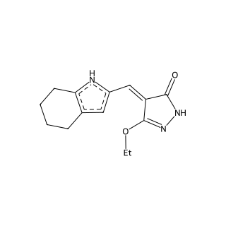 CCOC1=NNC(=O)/C1=C/c1cc2c([nH]1)CCCC2